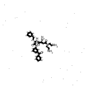 NCCN(CCN)C(=O)C[C@H](N)C(=O)N[C@@H](CCc1ccccc1)C(=O)Nc1cccc(C(=O)c2ccccc2)c1